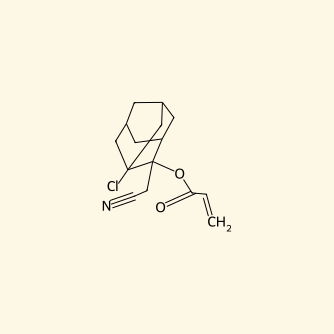 C=CC(=O)OC1(CC#N)C2CC3CC(C2)CC1(Cl)C3